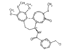 COc1cc2c(c(OC)c1OC)-c1ccc(SC)c(=O)cc1[C@@H](NC(=O)c1cccc(CCl)c1)CC2